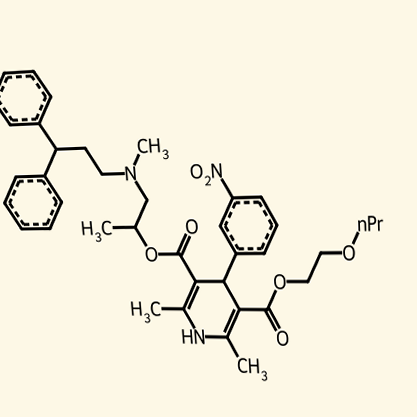 CCCOCCOC(=O)C1=C(C)NC(C)=C(C(=O)OC(C)CN(C)CCC(c2ccccc2)c2ccccc2)C1c1cccc([N+](=O)[O-])c1